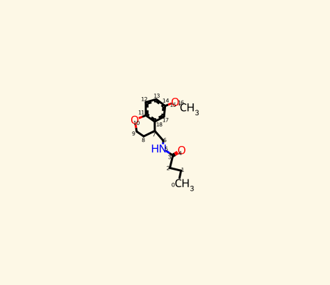 CCCC(=O)NCC1CCOc2ccc(OC)cc21